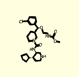 COC(=O)NCCO[C@@H](c1cccc(Cl)c1)C1CCCN(C(=O)N[C@H]2CNCC[C@@H]2C2CCCC2)C1